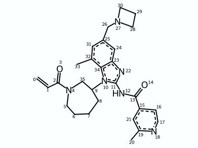 C=CC(=O)N1CCCCC(n2c(NC(=O)c3ccnc(C)c3)nc3cc(CN4CCC4)cc(C)c32)C1